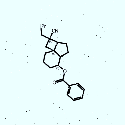 CC(C)C[C@@]1(C#N)C[C@]23CCC[C@H](OC(=O)c4ccccc4)C2CCC13